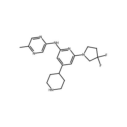 Cc1cnc(Nc2cc(C3CCNCC3)cc(N3CCC(F)(F)C3)n2)cn1